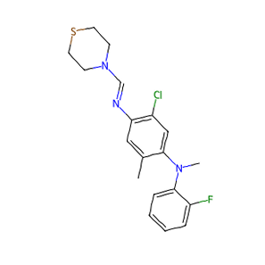 Cc1cc(N=CN2CCSCC2)c(Cl)cc1N(C)c1ccccc1F